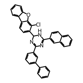 Clc1c(C2N=C(c3cccc(-c4ccccc4)c3)N=C(c3ccc4ccccc4c3)N2)ccc2c1oc1ccccc12